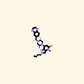 C=CCCn1cc2c(n1)c(N1C[C@@H](C)N([C@H](C)c3ccc4nccnc4c3)C[C@@H]1C)cc(=O)n2C